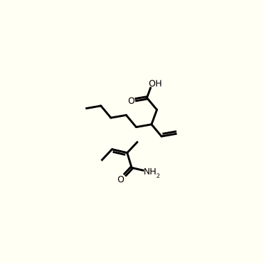 C=CC(CCCCC)CC(=O)O.CC=C(C)C(N)=O